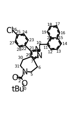 CC(C)(C)OC(=O)N1CCc2nn(Cc3cccc4ccccc34)c(-c3ccc(Cl)cc3)c2CC1